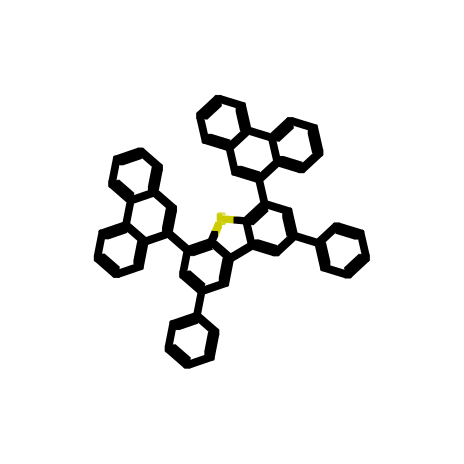 c1ccc(-c2cc(-c3cc4ccccc4c4ccccc34)c3sc4c(-c5cc6ccccc6c6ccccc56)cc(-c5ccccc5)cc4c3c2)cc1